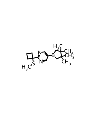 CSC1(c2ncc(B3CC(C)(C)C(C)(C)C3)cn2)CCC1